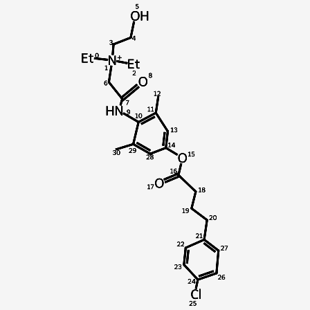 CC[N+](CC)(CCO)CC(=O)Nc1c(C)cc(OC(=O)CCCc2ccc(Cl)cc2)cc1C